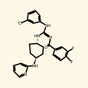 O=C(/N=C(/Nc1cccc(Cl)c1)N[C@H]1CC[C@H](Nc2ccccn2)CC1)c1ccc(F)c(F)c1